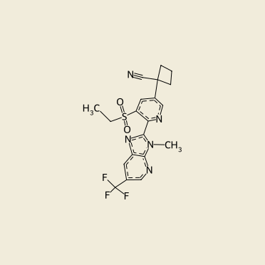 CCS(=O)(=O)c1cc(C2(C#N)CCC2)cnc1-c1nc2cc(C(F)(F)F)cnc2n1C